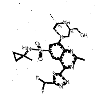 Cc1nc(-c2nnc(C(F)F)s2)c2cc(S(=O)(=O)NC3(C)CC3)cc(N3C[C@H](CO)N[C@@H](C)C3)c2n1